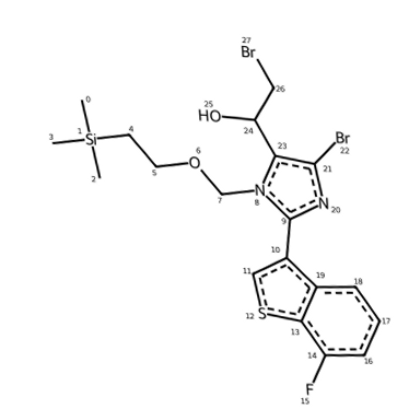 C[Si](C)(C)CCOCn1c(-c2csc3c(F)cccc23)nc(Br)c1C(O)CBr